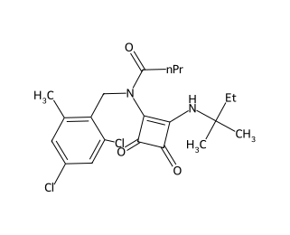 CCCC(=O)N(Cc1c(C)cc(Cl)cc1Cl)c1c(NC(C)(C)CC)c(=O)c1=O